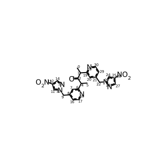 CC(C(=O)C(C)c1cc(Cn2cc([N+](=O)[O-])cn2)ccn1)c1cc(Cn2cc([N+](=O)[O-])cn2)ccn1